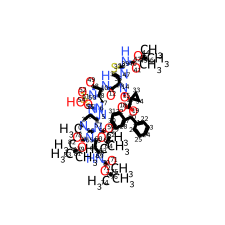 CN(Cc1cnn(C[C@@H]2[C@H](NC(=O)/C(=N\OC3(C(=O)OC(c4ccccc4)c4ccccc4)CC3)c3csc(NC(=O)OC(C)(C)C)n3)C(=O)N2S(=O)(=O)O)n1)C(=NC(=O)OC(C)(C)C)N(CCCNC(=O)OC(C)(C)C)C(=O)OC(C)(C)C